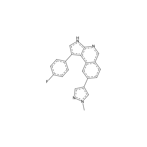 Cn1cc(-c2ccc3cnc4[nH]cc(-c5ccc(F)cc5)c4c3c2)cn1